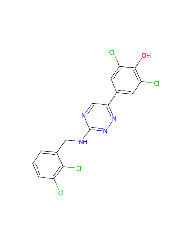 Oc1c(Cl)cc(-c2cnc(NCc3cccc(Cl)c3Cl)nn2)cc1Cl